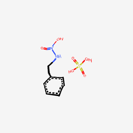 O=S(=O)(O)O.O=[N+](O)NCc1ccccc1